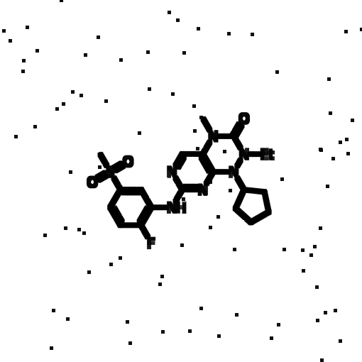 CCN1C(=O)N(C)c2cnc(Nc3cc(S(C)(=O)=O)ccc3F)nc2N1C1CCCC1